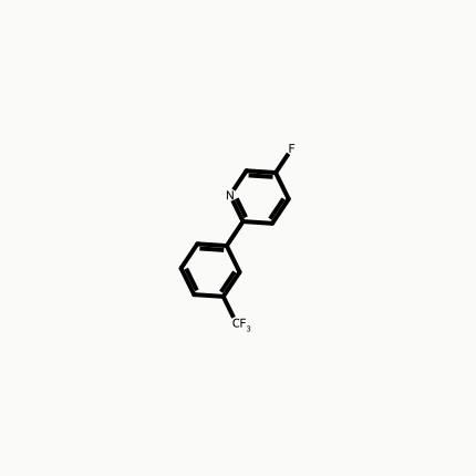 Fc1ccc(-c2cccc(C(F)(F)F)c2)nc1